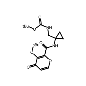 CCCCOc1c(C(=O)NC2(CNC(=O)OC(C)(C)C)CC2)occc1=O